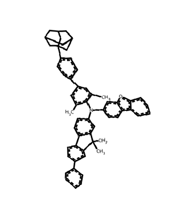 Cc1cc(-c2ccc(C34CC5CC(CC(C5)C3)C4)cc2)cc(C)c1N(c1ccc2c(c1)C(C)(C)c1cc(-c3ccccc3)ccc1-2)c1ccc2c(c1)oc1ccccc12